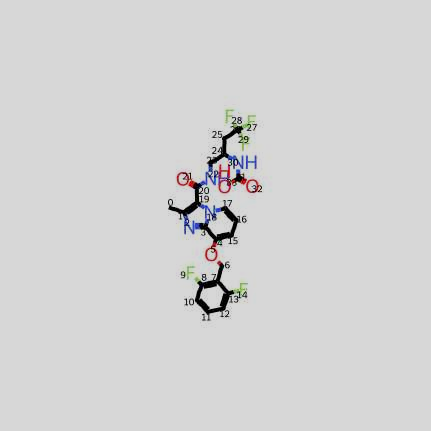 Cc1nc2c(OCc3c(F)cccc3F)cccn2c1C(=O)NCC(CC(F)(F)F)NC(=O)O